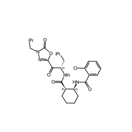 CC(C)C[C@H](NC(=O)[C@@H]1CCCC[C@@H]1NC(=O)c1ccccc1Cl)C(=O)c1nn(CC(C)C)c(=O)o1